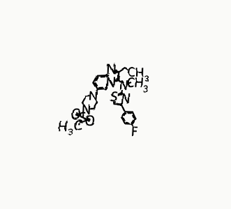 CCc1nc2ccc(N3CCN(S(C)(=O)=O)CC3)cn2c1N(C)c1nc(-c2ccc(F)cc2)cs1